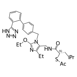 CCOc1nc(CC)c(CNC(=O)[C@H](CC(C)C)SC(C)=O)n1Cc1ccc(-c2ccccc2-c2nnn[nH]2)cc1